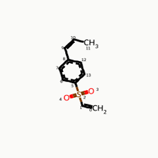 C=CS(=O)(=O)c1ccc(/C=C\C)cc1